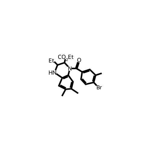 CCOC(=O)C1C(CC)Nc2cc(C)c(C)cc2N1C(=O)c1ccc(Br)c(C)c1